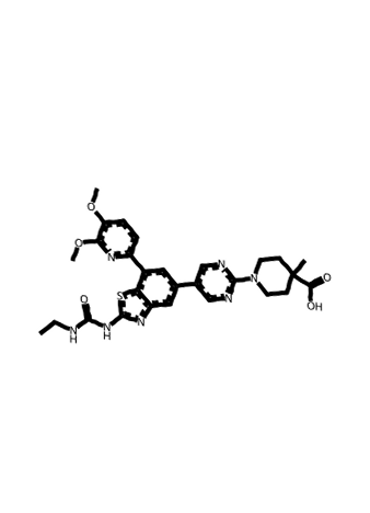 CCNC(=O)Nc1nc2cc(-c3cnc(N4CCC(C)(C(=O)O)CC4)nc3)cc(-c3ccc(OC)c(OC)n3)c2s1